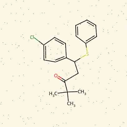 CC(C)(C)C(=O)CC(Sc1ccccc1)c1ccc(Cl)cc1